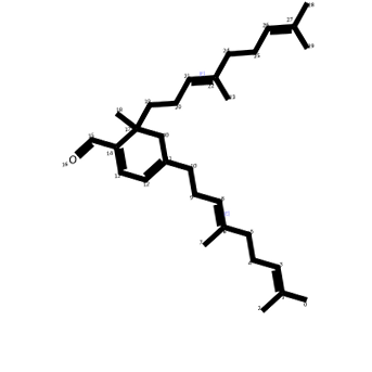 CC(C)=CCC/C(C)=C/CCC1=CC=C(C=O)C(C)(CC/C=C(\C)CCC=C(C)C)C1